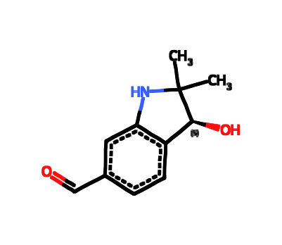 CC1(C)Nc2cc(C=O)ccc2[C@@H]1O